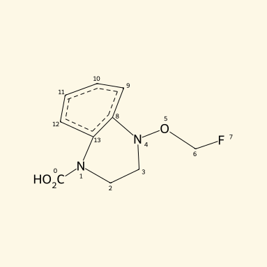 O=C(O)N1CCN(OCF)c2ccccc21